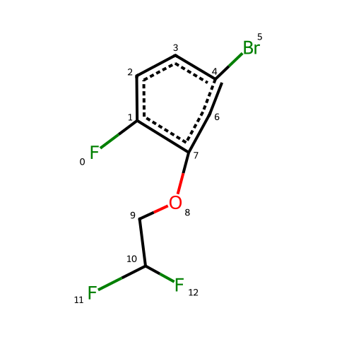 Fc1ccc(Br)cc1OCC(F)F